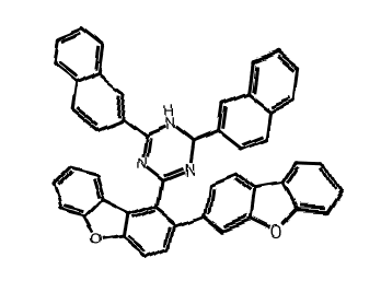 c1ccc2cc(C3=NC(c4c(-c5ccc6c(c5)oc5ccccc56)ccc5oc6ccccc6c45)=NC(c4ccc5ccccc5c4)N3)ccc2c1